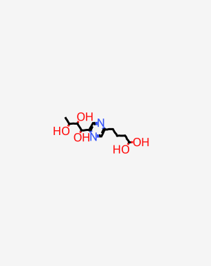 CC(O)C(O)C(O)c1cnc(CCCC(O)O)cn1